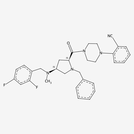 CN(Cc1ccc(F)cc1F)[C@H]1C[C@@H](C(=O)N2CCN(c3ccccc3C#N)CC2)N(Cc2ccccc2)C1